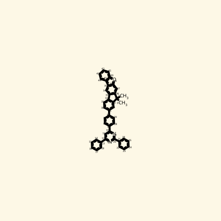 CC1(C)c2cc(-c3ccc(-c4cc(-c5ccccc5)nc(-c5ccccc5)n4)cc3)ccc2-c2cc3c(cc21)oc1ccccc13